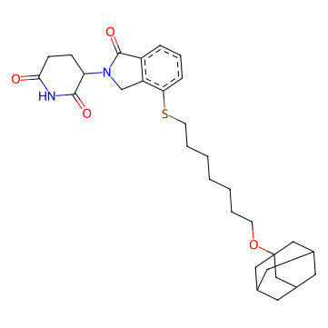 O=C1CCC(N2Cc3c(SCCCCCCCOC45CC6CC(CC(C6)C4)C5)cccc3C2=O)C(=O)N1